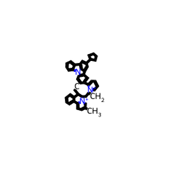 C=C1CC2C(CCc3cc4c(cc3-c3cccc[n+]31)c1cc(C3CCCC3)cc3c5ccccc5n4c31)c1ccccc1-c1ccc(C)c[n+]12